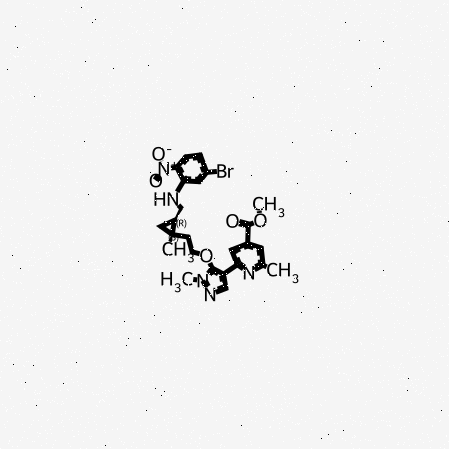 COC(=O)c1cc(C)nc(-c2cnn(C)c2OCC[C@]2(C)C[C@H]2CNc2cc(Br)ccc2[N+](=O)[O-])c1